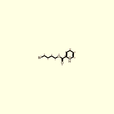 O=C(OCCCCBr)C1=CCC=CN1